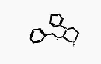 c1ccc(CSC2CNCCN2c2ccccc2)cc1